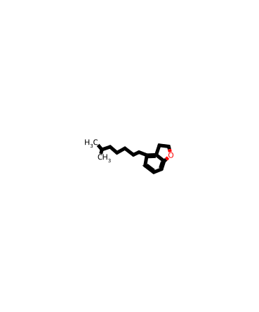 CC(C)CCCCCc1[c]ccc2c1CCO2